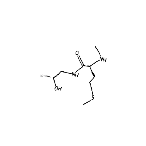 CN[C@@H](CCSC)C(=O)NC[C@@H](C)O